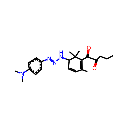 CCCC(=O)C(=O)C1=C(C)C=CC(N/N=N/c2ccc(N(C)C)cc2)C1(C)C